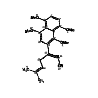 COc1ccc(OC)c2c(OC)c(C(CC=C(C)C)=NO)cc(OC)c12